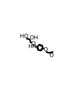 OCC(O)CONc1ccc(OCC2CO2)cc1